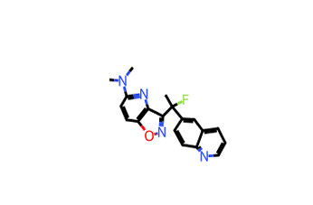 CN(C)c1ccc2onc(C(C)(F)c3ccc4ncccc4c3)c2n1